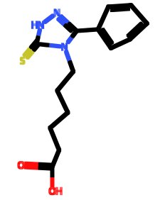 O=C(O)CCCCCn1c(-c2ccccc2)n[nH]c1=S